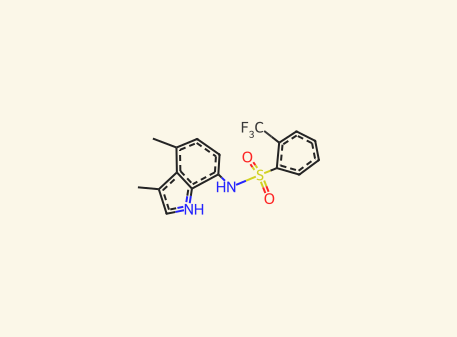 Cc1ccc(NS(=O)(=O)c2ccccc2C(F)(F)F)c2[nH]cc(C)c12